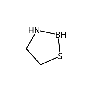 B1NCCS1